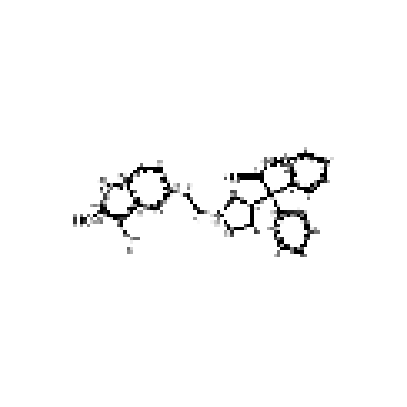 NC(=O)C(c1ccccc1)(c1ccccc1)C1CCN(CCc2ccc3oc(O)c(O)c3c2)C1